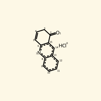 Cl.O=C1CC=Cc2nc3ccccc3cc21